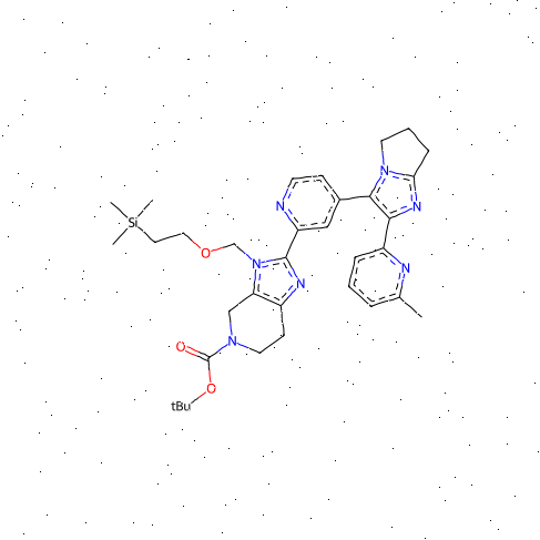 Cc1cccc(-c2nc3n(c2-c2ccnc(-c4nc5c(n4COCC[Si](C)(C)C)CN(C(=O)OC(C)(C)C)CC5)c2)CCC3)n1